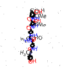 COc1c(NC(=O)c2ccc(NC(=O)c3ccc(NCC(C)(C=O)NC(=O)c4ccc(NC(=O)/C=C(\C)c5ccc(O)cc5)cc4)cc3)c(OC)c2O)ccc(C(=O)O)c1O